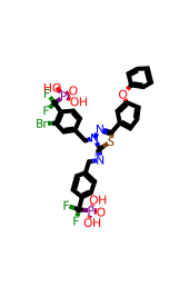 O=P(O)(O)C(F)(F)c1ccc(C/N=c2/sc(-c3cccc(Oc4ccccc4)c3)nn2Cc2ccc(C(F)(F)P(=O)(O)O)c(Br)c2)cc1